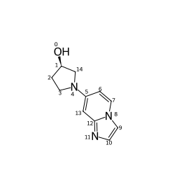 O[C@@H]1CCN(c2ccn3ccnc3c2)C1